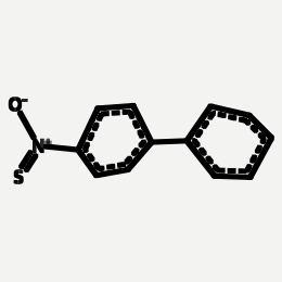 [O-][N+](=S)c1ccc(-c2ccccc2)cc1